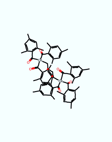 Cc1cc(C)c([C](=O)[Ge]([CH2]CC[CH2][Ge]([C](=O)c2c(C)cc(C)cc2C)([C](=O)c2c(C)cc(C)cc2C)[C](=O)c2c(C)cc(C)cc2C)([C](=O)c2c(C)cc(C)cc2C)[C](=O)c2c(C)cc(C)cc2C)c(C)c1